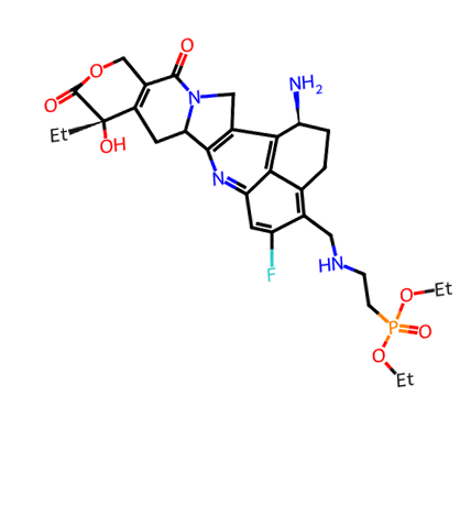 CCOP(=O)(CCNCc1c(F)cc2nc3c(c4c2c1CC[C@@H]4N)CN1C(=O)C2=C(CC31)[C@@](O)(CC)C(=O)OC2)OCC